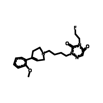 COc1ccccc1C1=CCN(CCCCn2ncc(=O)n(CCF)c2=O)CC1